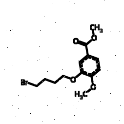 COC(=O)c1ccc(OC)c(OCCCCBr)c1